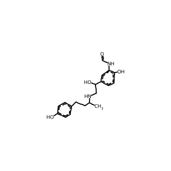 CC(CCc1ccc(O)cc1)NCC(O)c1ccc(O)c(NC=O)c1